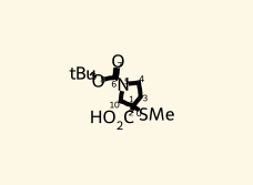 CSC1(C(=O)O)CCN(C(=O)OC(C)(C)C)C1